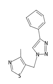 Cc1ncsc1Cn1cc(-c2ccccc2)nn1